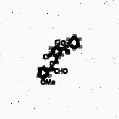 COc1cccc(C(C=O)OCc2cc(S(=O)(=O)N3CCCCC3)c(Cl)cc2Cl)c1